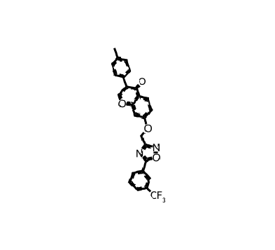 Cc1ccc(-c2coc3cc(OCc4noc(-c5cccc(C(F)(F)F)c5)n4)ccc3c2=O)cc1